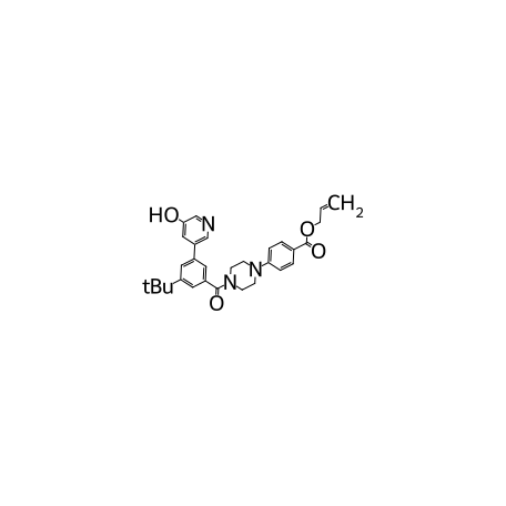 C=CCOC(=O)c1ccc(N2CCN(C(=O)c3cc(-c4cncc(O)c4)cc(C(C)(C)C)c3)CC2)cc1